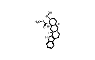 COC(=O)[C@@H]1[C@H]2C[C@H]3c4[nH]c5ccccc5c4CCN3C[C@@H]2CC[C@@H]1PO